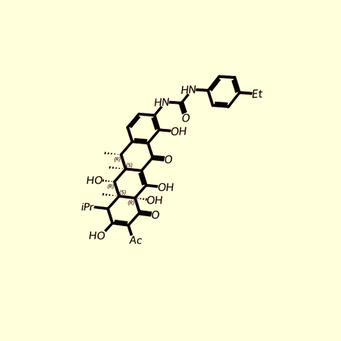 CCc1ccc(NC(=O)Nc2ccc3c(c2O)C(=O)C2=C(O)[C@@]4(O)C(=O)C(C(C)=O)=C(O)C(C(C)C)[C@@]4(C)[C@H](O)[C@@]2(C)[C@@H]3C)cc1